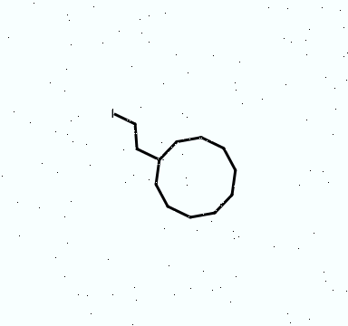 ICC[C]1CCCCCCCCC1